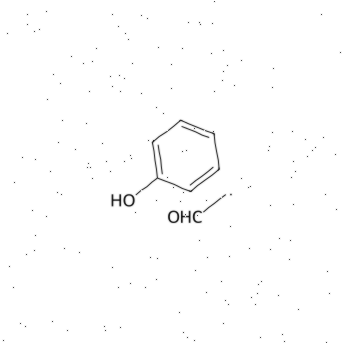 Oc1ccccc1.[CH2]C=O